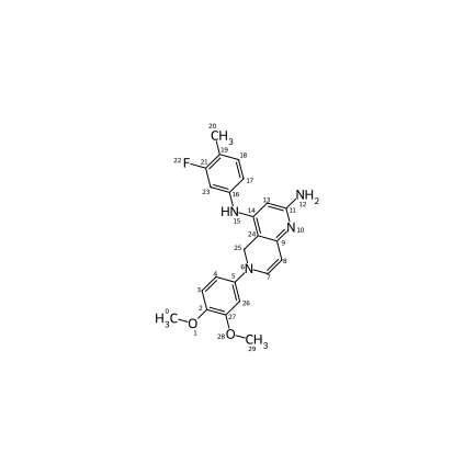 COc1ccc(N2C=Cc3nc(N)cc(Nc4ccc(C)c(F)c4)c3C2)cc1OC